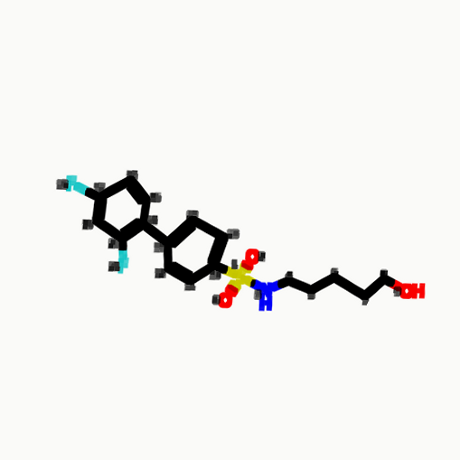 O=S(=O)(NCCCCCO)c1ccc(-c2ccc(F)cc2F)cc1